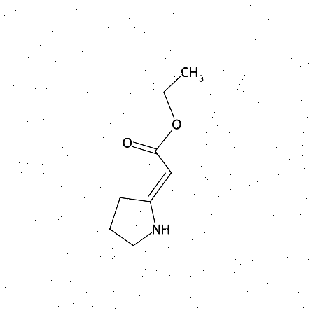 CCOC(=O)/C=C1\CCCN1